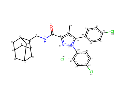 Cc1c(C(=O)NCC2C3CC4CC(C3)CC2C4)nn(-c2ccc(Cl)cc2Cl)c1-c1ccc(Cl)cc1